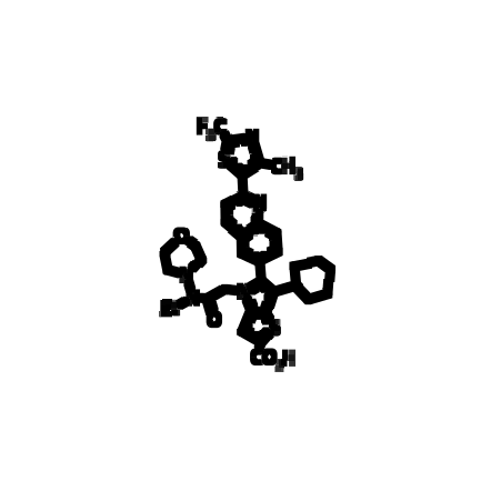 CCN(C(=O)Cn1c(-c2ccc3nc(-c4sc(C(F)(F)F)nc4C)ccc3c2)c(C2CCCCC2)c2sc(C(=O)O)cc21)N1CCOCC1